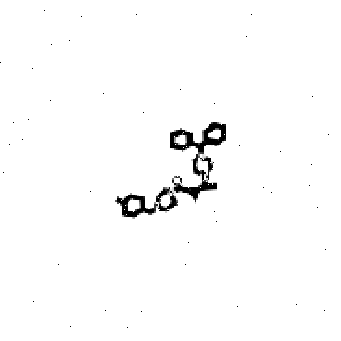 C=C(C1CC1C(=O)N1CCN(CC2CCC(C)CC2)CC1)N1CCN(C(c2ccccc2)c2ccccc2)CC1